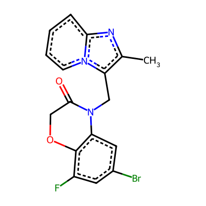 Cc1nc2ccccn2c1CN1C(=O)COc2c(F)cc(Br)cc21